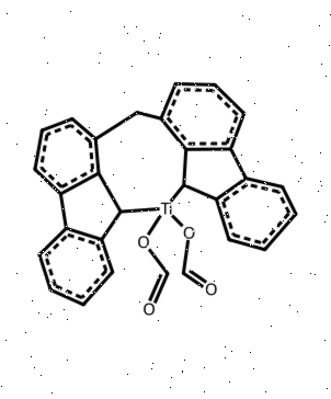 O=C[O][Ti]1([O]C=O)[CH]2c3ccccc3-c3cccc(c32)Cc2cccc3c2[CH]1c1ccccc1-3